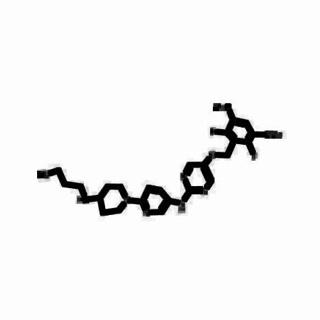 COc1cc(OC)c(F)c(COc2cnc(Nc3ccc(N4CCC(NCCCO)CC4)nc3)nc2)c1F